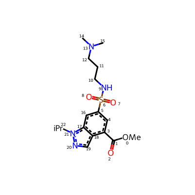 COC(=O)c1cc(S(=O)(=O)NCCCN(C)C)cc2c1cnn2C(C)C